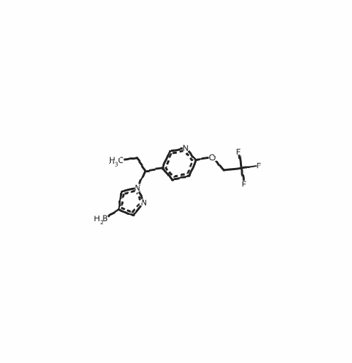 Bc1cnn(C(CC)c2ccc(OCC(F)(F)F)nc2)c1